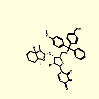 COc1ccc(C(OC[C@H]2O[C@@H](n3ccc(=O)[nH]c3=O)[C@H](F)[C@@H]2O[P@]2O[C@@]3(C)CCCC[C@@H]3N2C)(c2ccccc2)c2ccc(OC)cc2)cc1